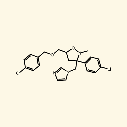 CN1OC(COCc2ccc(Cl)cc2)CC1(Cn1ccnc1)c1ccc(Cl)cc1